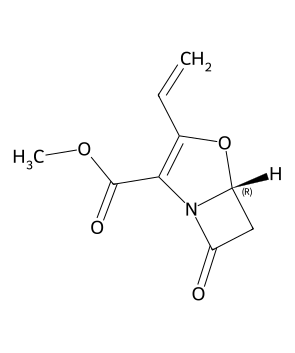 C=CC1=C(C(=O)OC)N2C(=O)C[C@H]2O1